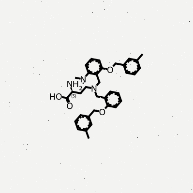 Cc1cccc(COc2ccccc2CN(CC[C@H](N)C(=O)O)Cc2c(OCc3cccc(C)c3)cccc2N(C)C)c1